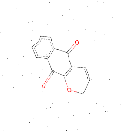 O=C1C2=C(OCC=C2)C(=O)c2ccccc21